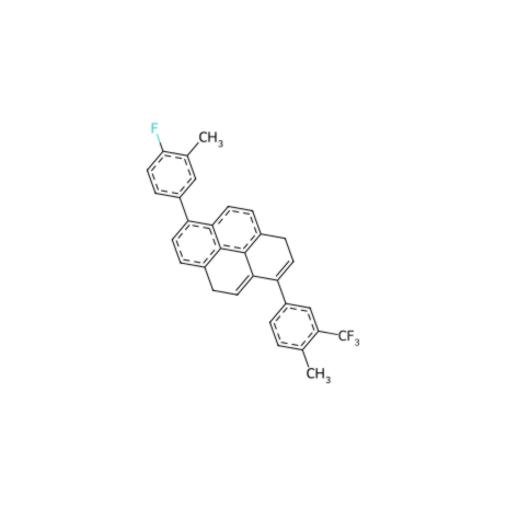 Cc1cc(-c2ccc3c4c5c(ccc24)CC=C(c2ccc(C)c(C(F)(F)F)c2)C5=CC3)ccc1F